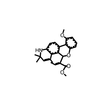 C/C=C(/C(=O)OC)C1Oc2cccc(OC)c2-c2ccc3c(c21)C(C)=CC(C)(C)N3